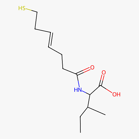 CCC(C)C(NC(=O)CC/C=C/CCS)C(=O)O